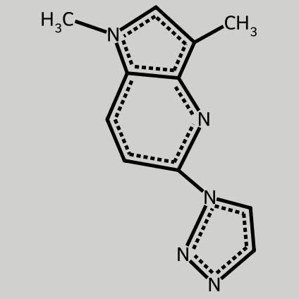 Cc1cn(C)c2ccc(-n3ccnn3)nc12